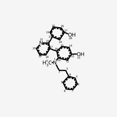 CN(CCc1ccccc1)c1cc(O)ccc1-c1cccnc1-c1cccc(O)c1